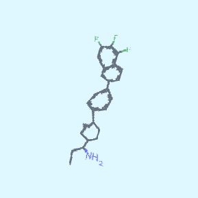 CCC(N)C1CCC(c2ccc(-c3ccc4c(F)c(F)c(F)cc4c3)cc2)CC1